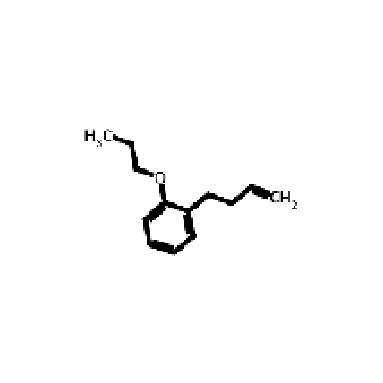 C=CCCc1ccccc1OCCC